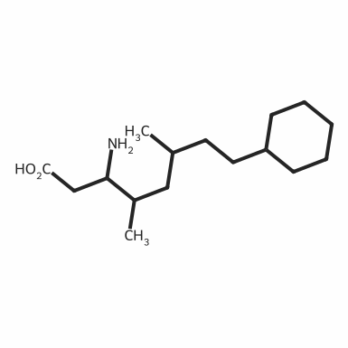 CC(CCC1CCCCC1)CC(C)C(N)CC(=O)O